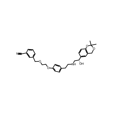 CC1(C)OCc2cc([C@H](O)CNCCc3ccc(OCCOCc4cccc(C#N)c4)cc3)ccc2O1